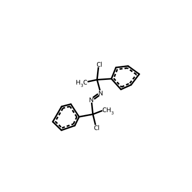 CC(Cl)(/N=N/C(C)(Cl)c1ccccc1)c1ccccc1